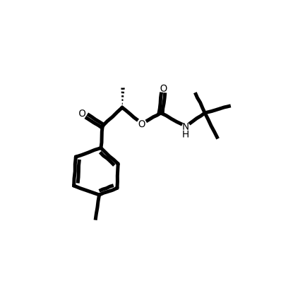 Cc1ccc(C(=O)[C@H](C)OC(=O)NC(C)(C)C)cc1